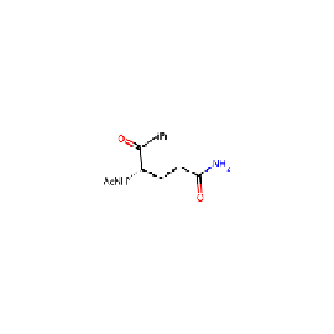 CC(=O)N[C@@H](CCC(N)=O)C(=O)C(C)C